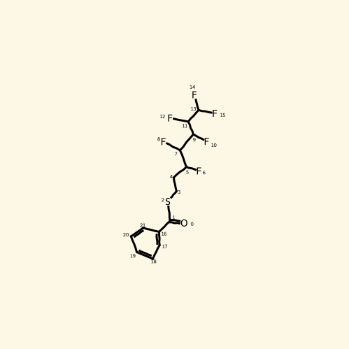 O=C(SCCC(F)C(F)C(F)C(F)C(F)F)c1ccccc1